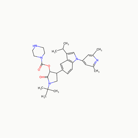 Cc1cc(-n2cc(C(C)C)c3cc(C4CN(C(C)(C)C)C(=O)C4OC(=O)N4CCNCC4)ccc32)cc(C)n1